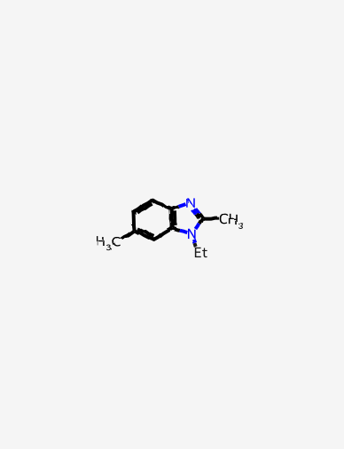 CCn1c(C)nc2ccc(C)cc21